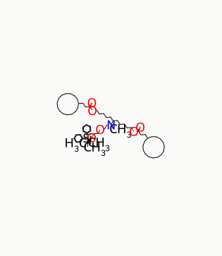 CN(CCOCCO[Si](c1ccccc1)(c1ccccc1)C(C)(C)C)C(CCCCCOC(=O)CCC1CCCCCCCCCCCCCC1)CCCCCOC(=O)CCC1CCCCCCCCCCCCCC1